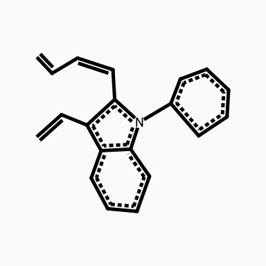 C=C/C=C\c1c(C=C)c2ccccc2n1-c1ccccc1